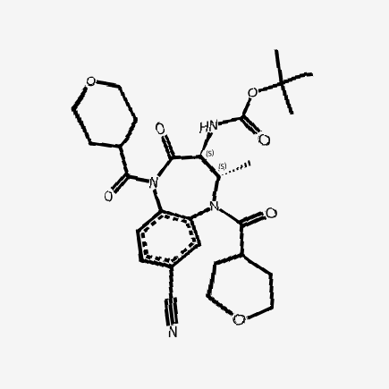 C[C@H]1[C@H](NC(=O)OC(C)(C)C)C(=O)N(C(=O)C2CCOCC2)c2ccc(C#N)cc2N1C(=O)C1CCOCC1